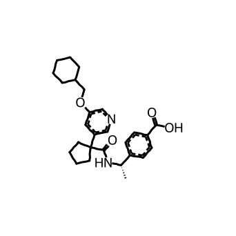 C[C@H](NC(=O)C1(c2cncc(OCC3CCCCC3)c2)CCCC1)c1ccc(C(=O)O)cc1